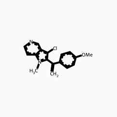 C=C(c1ccc(OC)cc1)c1c(Cl)c2cnccc2n1C